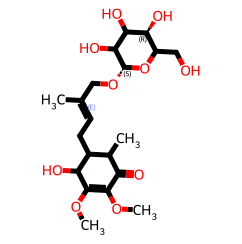 COC1=C(OC)C(O)C(C/C=C(\C)CO[C@H]2OC(CO)[C@H](O)C(O)C2O)C(C)C1=O